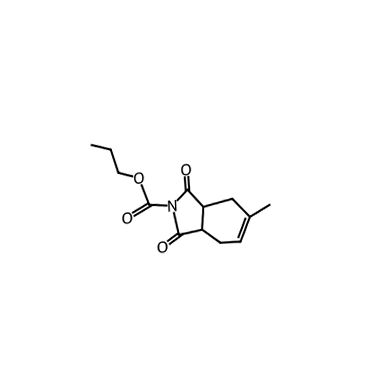 CCCOC(=O)N1C(=O)C2CC=C(C)CC2C1=O